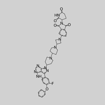 Nc1ncnc2c1c(-c1ccc(Oc3ccccc3)c(F)c1)nn2C1CCN(C2CCN(C3CN(c4ccc5c(c4)C(=O)N(C4CCC(=O)NC4=O)C5=O)C3)CC2)CC1